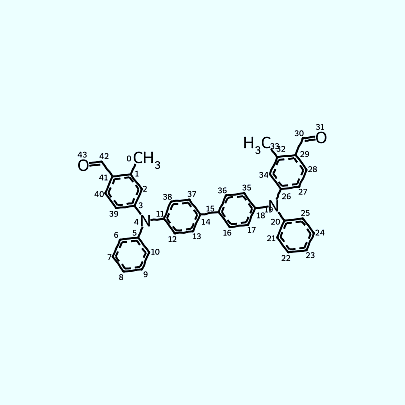 Cc1cc(N(c2ccccc2)c2ccc(-c3ccc(N(c4ccccc4)c4ccc(C=O)c(C)c4)cc3)cc2)ccc1C=O